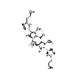 Cc1[nH]c(-c2nnc(CCO)o2)c(C)c1C(=O)c1c(C)[nH]c(-c2nnc(CCO)o2)c1C